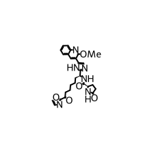 COc1nc2ccccc2cc1-c1cnc([C@H](CCCCCC(=O)c2ncco2)NC(=O)[C@H]2CCC(=O)N2)[nH]1